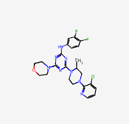 CC1CN(c2ncccc2Cl)CCN1c1nc(Nc2ccc(F)c(F)c2)nc(N2CCOCC2)n1